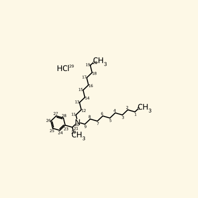 CCCCCCCCCCN(CCCCCCCCCC)C(C)c1ccccc1.Cl